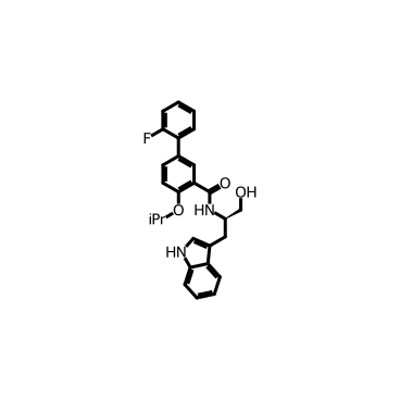 CC(C)Oc1ccc(-c2ccccc2F)cc1C(=O)N[C@@H](CO)Cc1c[nH]c2ccccc12